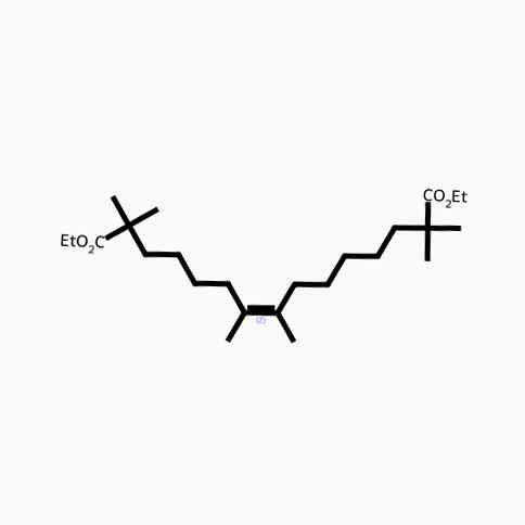 CCOC(=O)C(C)(C)CCCCC/C(C)=C(/C)CCCCC(C)(C)C(=O)OCC